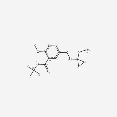 COc1ncc(COC2(CO)CC2)cc1C(=O)OC(C)(C)C